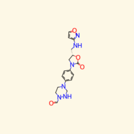 O=CN1CCN(c2ccc(N3C[C@H](CNc4ccon4)OC3=O)cc2)CN1